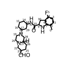 Cc1ccc(F)c2c1NC(C(=O)N[C@@H]1CCC[C@@H](N3CCN4CC(C=O)CC[C@H]4C3)C1)C2